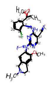 COc1cc2c(cc1Nc1ncc(C#N)c(Nc3c(F)cccc3C(C)OC)n1)CN(C)CC2